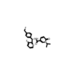 CC(C)n1cc(C(=O)N[C@@H](c2ccc(CF)cc2)c2ncccc2F)ccc1=O